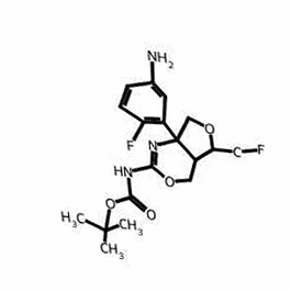 CC(C)(C)OC(=O)NC1=NC2(c3cc(N)ccc3F)COC(CF)C2CO1